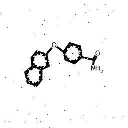 NC(=O)c1ccc(Oc2ccc3ccccc3c2)cc1